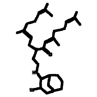 CCC1CC2CCCC(C2)C1NCCN(C/C=C(\C)CCC=C(C)C)C(=O)/C=C(\C)CCC=C(C)C